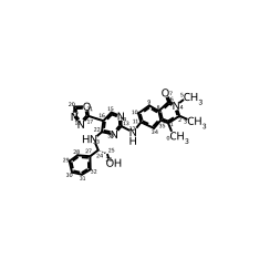 Cc1c(C)n(C)c(=O)c2ccc(Nc3ncc(-c4nnco4)c(N[C@H](CO)c4ccccc4)n3)cc12